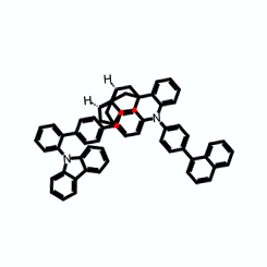 c1ccc(-n2c3ccccc3c3ccccc32)c(-c2ccc(-c3ccc(N(c4ccc(-c5cccc6ccccc56)cc4)c4ccccc4C45CC6C7C[C@@H](C4)C6[C@@H](C7)C5)cc3)cc2)c1